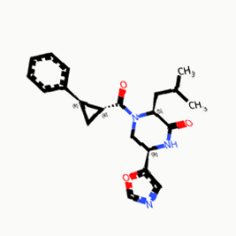 CC(C)C[C@H]1C(=O)N[C@@H](c2cnco2)CN1C(=O)[C@@H]1C[C@H]1c1ccccc1